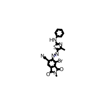 Cc1nc(Nc2ccccc2)sc1/N=N/c1c(C#N)cc2c(c1Br)C(=O)N(C)C2=O